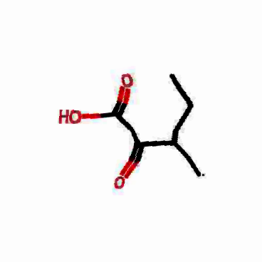 [CH2]C(CC)C(=O)C(=O)O